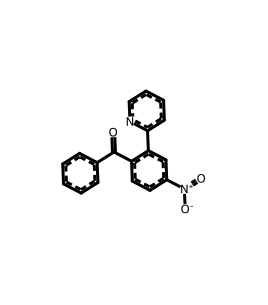 O=C(c1ccccc1)c1ccc([N+](=O)[O-])cc1-c1ccccn1